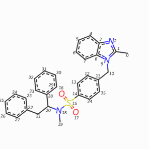 Cc1nc2ccccc2n1Cc1ccc(S(=O)(=O)N(C)C(Cc2ccccc2)c2ccccc2)cc1